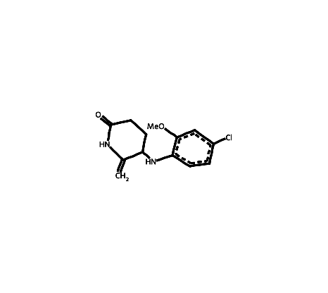 C=C1NC(=O)CCC1Nc1ccc(Cl)cc1OC